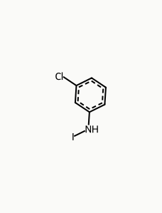 Clc1cccc(NI)c1